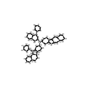 c1ccc(-c2cc(N(c3ccc4c(c3)sc3cc5ccccc5cc34)c3ccc4c5ccc6ccccc6c5n(-c5ccccc5)c4c3)cc3ccccc23)cc1